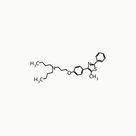 CCCCN(CCCC)CCCOc1ccc(-c2nc(-c3ccccc3)sc2C)cc1